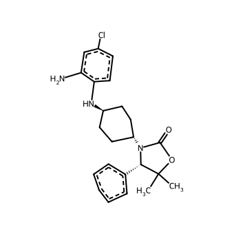 CC1(C)OC(=O)N([C@H]2CC[C@H](Nc3ccc(Cl)cc3N)CC2)[C@H]1c1ccccc1